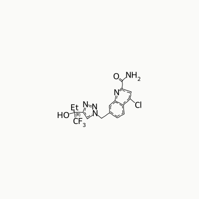 CC[C@@](O)(c1cn(Cc2ccc3c(Cl)cc(C(N)=O)nc3c2)nn1)C(F)(F)F